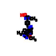 COc1ncnc(C(C)(C)C)c1-c1ncc2cnn(Cc3ccc(-c4nc(O)cn4C)cc3)c2n1